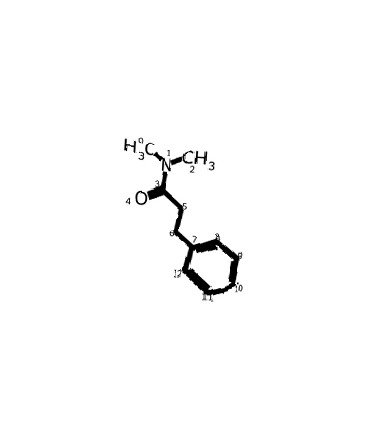 CN(C)C(=O)CCc1cc[c]cc1